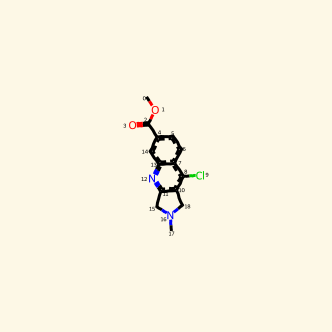 COC(=O)c1ccc2c(Cl)c3c(nc2c1)CN(C)C3